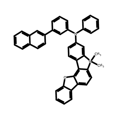 C[Si]1(C)c2cc(N(c3ccccc3)c3cccc(-c4ccc5ccccc5c4)c3)ccc2-c2c1ccc1c2oc2ccccc21